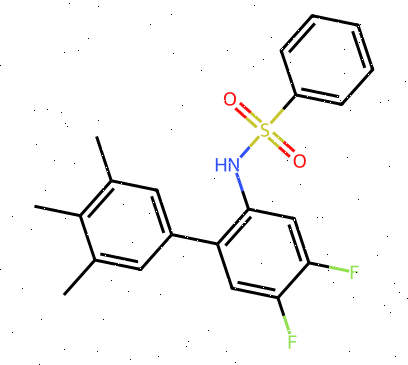 Cc1cc(-c2cc(F)c(F)cc2NS(=O)(=O)c2ccccc2)cc(C)c1C